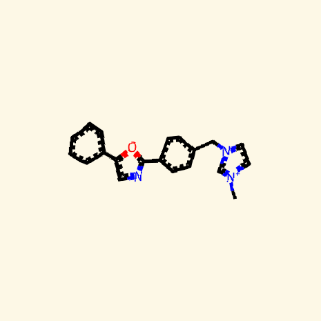 C[n+]1ccn(Cc2ccc(-c3ncc(-c4ccccc4)o3)cc2)c1